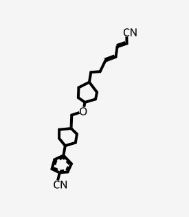 N#CC=CC=CCCC1CCC(OCC2CCC(c3ccc(C#N)cc3)CC2)CC1